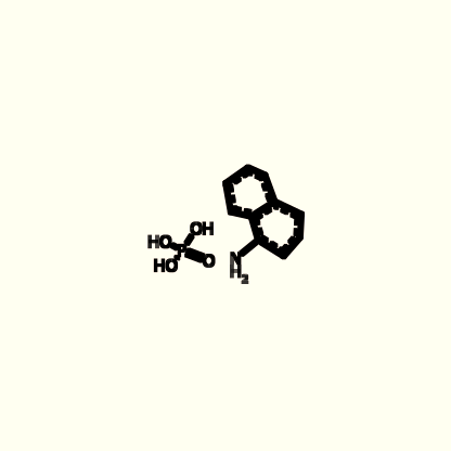 Nc1cccc2ccccc12.O=P(O)(O)O